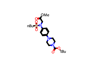 CCCCS(=O)(=O)N(CC(=O)OC)c1ccc(N2CCN(C(=O)OC(C)(C)C)CC2)cc1